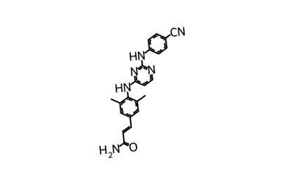 Cc1cc(/C=C/C(N)=O)cc(C)c1Nc1ccnc(Nc2ccc(C#N)cc2)n1